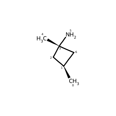 C[C@H]1C[C@](C)(N)C1